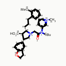 CCCCN(C(=O)CN1C[C@H](c2ccc3c(c2)CCO3)[C@@H](C(=O)O)[C@@H]1CCCc1ccccc1OC)c1ccc[n+](C)c1